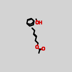 C1=CC2CCC1CC2.CCC=CCCOC(C)=O.CO